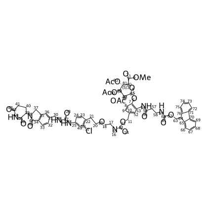 COC(=O)[C@H]1O[C@@H](Oc2ccc(COC(=O)N(C)CCOCCc3ccc(NC(=O)NCc4ccc5c(c4)CN(C4CCC(=O)NC4=O)C5=O)cc3Cl)cc2NC(=O)CCNC(=O)OCC2c3ccccc3-c3ccccc32)[C@H](OC(C)=O)[C@@H](OC(C)=O)[C@@H]1OC(C)=O